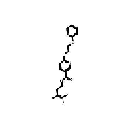 CC(CCOC(=O)c1ccc(OCCOc2ccccc2)nc1)=C(F)F